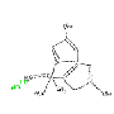 CC(C)(C)C1=CC[C]([Zr]([CH3])([CH3])(=[SiH2])[C]2=CC=C(C(C)(C)C)C2)=C1.Cl.Cl